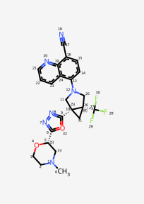 CN1CCO[C@H](c2nnc([C@]34CN(c5ccc(C#N)c6ncccc56)C[C@@]3(C(F)(F)F)C4)o2)C1